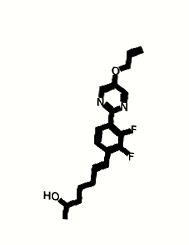 C=CCOc1cnc(-c2ccc(/C=C/CCCC(C)O)c(F)c2F)nc1